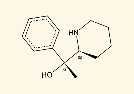 C[C@@](O)(c1ccccc1)[C@@H]1CCCCN1